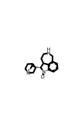 O=[N+]1c2cccc3c2C(CCNC3)[C@@H]1C1CN2CCC1CC2